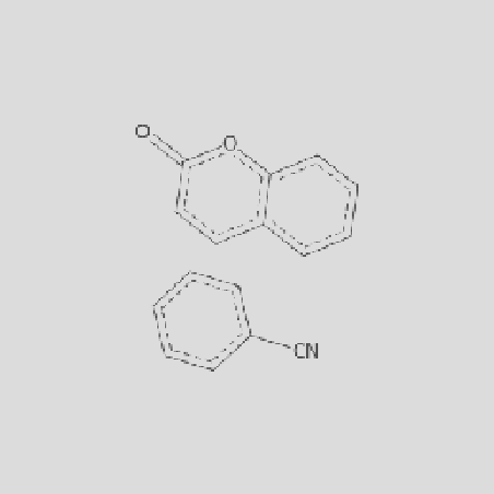 N#Cc1ccccc1.O=c1ccc2ccccc2o1